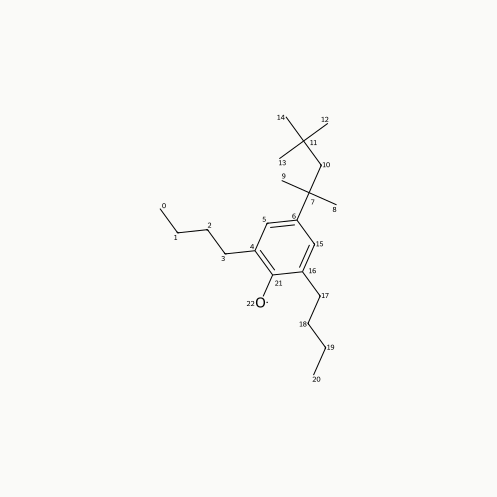 CCCCc1cc(C(C)(C)CC(C)(C)C)cc(CCCC)c1[O]